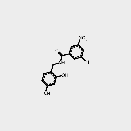 N#Cc1ccc(CNC(=O)c2cc(Cl)cc([N+](=O)[O-])c2)c(O)c1